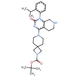 CC(C)c1ccccc1-n1c2c(c(N3CCC4(CC3)CN(C(=O)OC(C)(C)C)C4)nc1=O)CCNC2